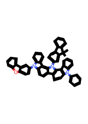 CC1(C)c2ccccc2-c2ccc(-n3c4c(ccc5c4c4ccccc4n5-c4ccccc4)c4ccc5c(c6ccccc6n5-c5ccc6oc7ccccc7c6c5)c43)cc21